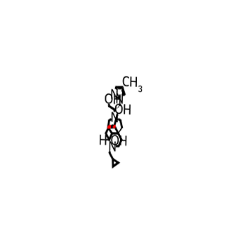 Cc1cnn(C[C@@H](CO)N2CC[C@]34CCN(CC5CC5)[C@H](Cc5ccc(O)cc53)[C@]4(O)CC2)c1